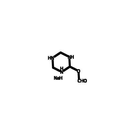 O=COC1NCNCN1.[NaH]